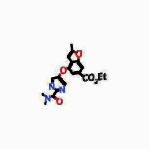 CCOC(=O)c1cc(Oc2cnc(C(=O)N(C)C)nc2)c2cc(C)oc2c1